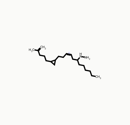 C=C(C)CCCC1CC1CC/C=C\CC(CCCCCC)NN